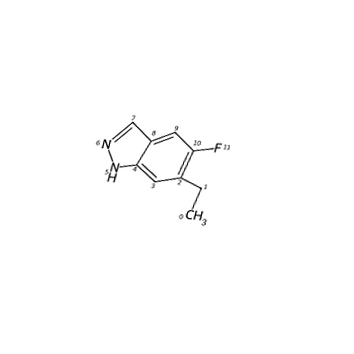 CCc1cc2[nH]ncc2cc1F